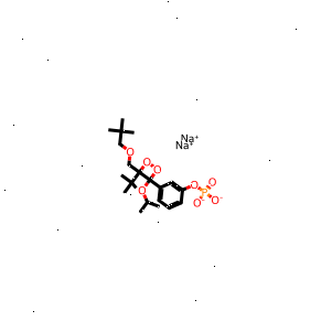 CC(C)OC1(c2cccc(OP(=O)([O-])[O-])c2)OOC1(COCC(C)(C)C)C(C)(C)C.[Na+].[Na+]